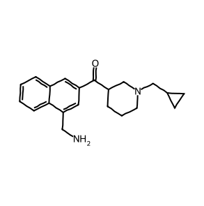 NCc1cc(C(=O)C2CCCN(CC3CC3)C2)cc2ccccc12